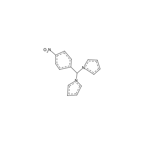 O=[N+]([O-])c1ccc(C(n2cccc2)n2cccc2)cc1